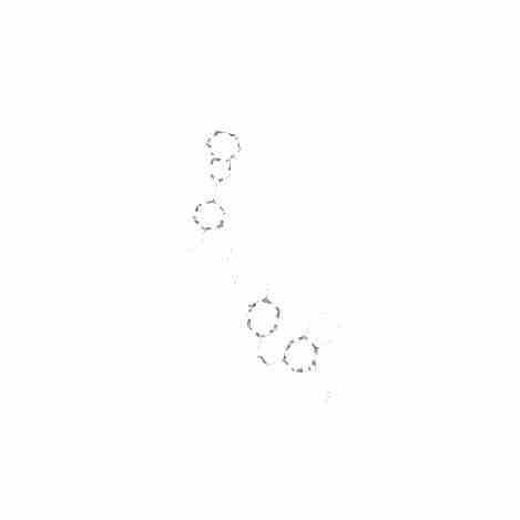 COc1ccc(/C=C\c2cc(OC)c(OC)c(OC)c2)cc1OCCOc1cc(-c2nc3ccccc3s2)ccc1OC